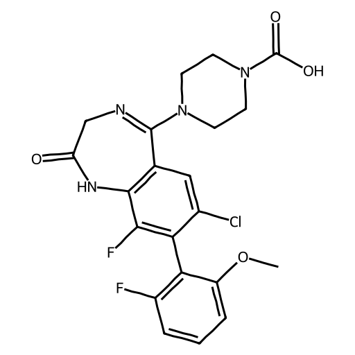 COc1cccc(F)c1-c1c(Cl)cc2c(c1F)NC(=O)CN=C2N1CCN(C(=O)O)CC1